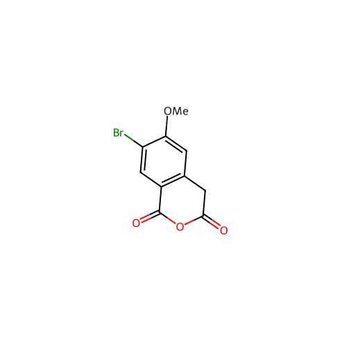 COc1cc2c(cc1Br)C(=O)OC(=O)C2